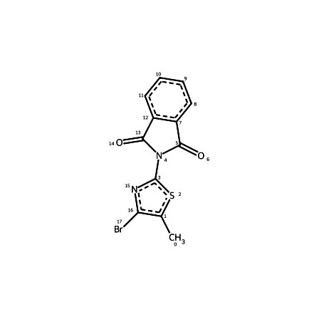 Cc1sc(N2C(=O)c3ccccc3C2=O)nc1Br